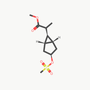 COC(=O)C(C)[C@H]1[C@@H]2C[C@@H](OS(C)(=O)=O)C[C@@H]21